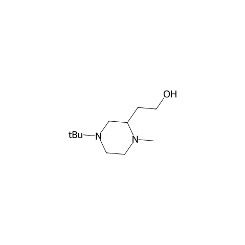 CN1CCN(C(C)(C)C)CC1CCO